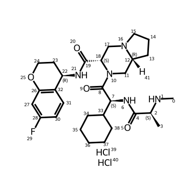 CN[C@@H](C)C(=O)N[C@H](C(=O)N1C[C@H]2CCCN2C[C@H]1C(=O)N[C@@H]1CCOc2cc(F)ccc21)C1CCCCC1.Cl.Cl